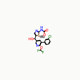 CC(C)(C)OC(=O)Nc1ncc(C(O)c2cnc(OC(F)F)c(-c3cccc(Cl)c3)c2)s1